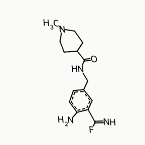 CN1CCC(C(=O)NCc2ccc(N)c(C(=N)F)c2)CC1